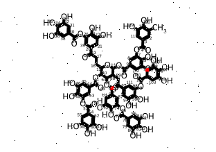 Cc1cc(C(=O)Oc2cc(C(=O)OC3OC(CCC(=O)c4cc(O)c(O)c(OC(=O)c5cc(O)c(O)c(O)c5)c4)C(OC(=O)c4cc(O)c(O)c(OC(=O)c5cc(O)c(O)c(O)c5)c4)C(OC(=O)c4cc(O)c(O)c(OC(=O)c5cc(O)c(O)c(O)c5)c4)C3CC(=O)c3cc(O)c(O)c(OC(=O)c4cc(O)c(O)c(O)c4)c3)cc(O)c2O)cc(O)c1O